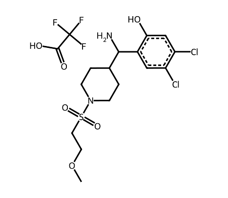 COCCS(=O)(=O)N1CCC(C(N)c2cc(Cl)c(Cl)cc2O)CC1.O=C(O)C(F)(F)F